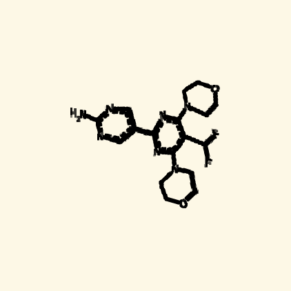 Nc1ncc(-c2nc(N3CCOCC3)c(C(F)F)c(N3CCOCC3)n2)cn1